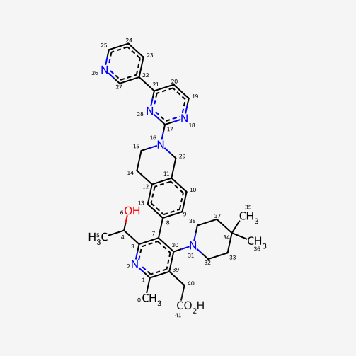 Cc1nc(C(C)O)c(-c2ccc3c(c2)CCN(c2nccc(-c4cccnc4)n2)C3)c(N2CCC(C)(C)CC2)c1CC(=O)O